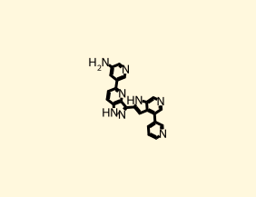 Nc1cncc(-c2ccc3[nH]nc(-c4cc5c(-c6cccnc6)cncc5[nH]4)c3n2)c1